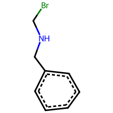 BrCNCc1ccccc1